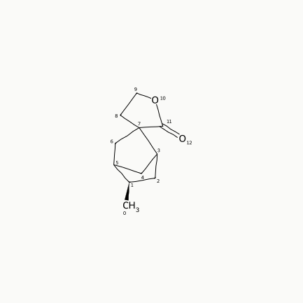 C[C@@H]1CC2CC1CC21CCOC1=O